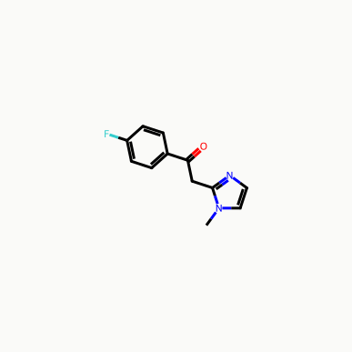 Cn1ccnc1CC(=O)c1ccc(F)cc1